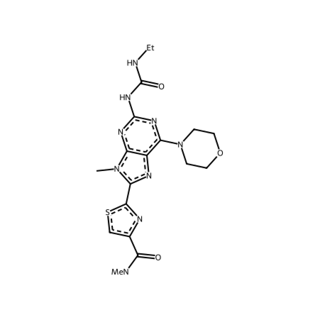 CCNC(=O)Nc1nc(N2CCOCC2)c2nc(-c3nc(C(=O)NC)cs3)n(C)c2n1